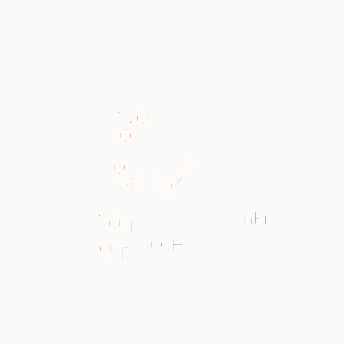 CCCC1CCCC(CCC(=O)OCC2OC(C3CC4CCCC(OC(=O)C(F)(F)S(=O)(=O)O)(C4)C3)OC2COC(=O)C23CCCC(CC(C)C2)C3)C1